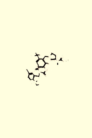 CCS(=O)(=O)c1ccc(Cl)cc1Cn1c(=O)[nH]c2c(Cl)c(CN3CC[C@@H](N(C)C(=O)O)C3)c(C(F)(F)F)cc2c1=O